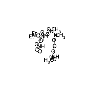 CCN(CC)c1ccc(NC(=O)c2cccc(C(=O)N(C)CCN(C)CCOCCOCCOCCNS(C)(=O)=O)c2)c(-c2cc(C(=O)N[C@H]3CCCc4ccccc43)ccn2)c1